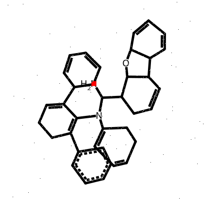 NC(C1CC=CC2C3C=CC=CC3OC21)N(C1=CC=CCC1)C1=C(c2ccccc2)CCC=C1C1C=CC=CC1